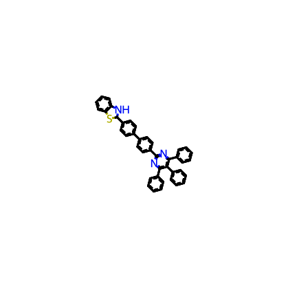 c1ccc(-c2nc(-c3ccc(-c4ccc(C5Nc6ccccc6S5)cc4)cc3)nc(-c3ccccc3)c2-c2ccccc2)cc1